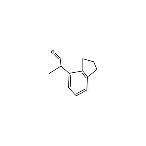 CC(C=O)c1cccc2c1CCC2